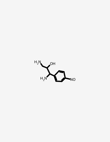 NCC(O)C(N)c1ccc(N=O)cc1